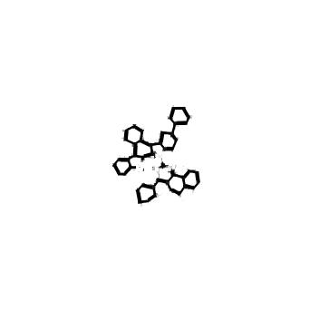 c1ccc(-c2ccc3c(c2)c2c4ccccc4c4c5ccccc5sc4c2n3-c2nc(-c3ccccc3)c3ccc4ccccc4c3n2)cc1